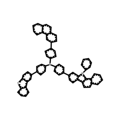 c1ccc(-n2c3cc(-c4ccc(N(c5ccc(-c6ccc7ccc8ccccc8c7c6)cc5)c5ccc(-c6ccc7sc8ccccc8c7c6)cc5)cc4)ccc3c3ccc4ccccc4c32)cc1